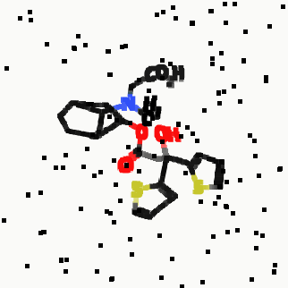 CN(CC(=O)O)C1C2CCC1C(OC(=O)C(O)(c1cccs1)c1cccs1)C2